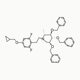 C[C@@H]1[C@@H](OCc2ccccc2)[C@H](OCc2ccccc2)[C@@H](OCc2ccccc2)CN1CCc1c(F)cc(OCC2CC2)cc1F